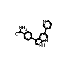 NC(=O)c1ccc(-c2c[nH]c3ncc(-c4cccnc4)cc23)cc1